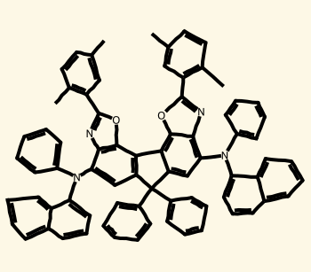 Cc1ccc(C)c(-c2nc3c(N(c4ccccc4)c4cccc5ccccc45)cc4c(c3o2)-c2c(cc(N(c3ccccc3)c3cccc5ccccc35)c3nc(-c5cc(C)ccc5C)oc23)C4(c2ccccc2)c2ccccc2)c1